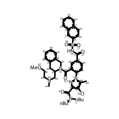 CCCCN(CCCC)C(=O)c1nn(-c2ccc(C(=O)NS(=O)(=O)c3ccc4ccccc4c3)cc2C(=O)N2Cc3ccccc3CC2CN(C)CCOC)c(C)c1Cl